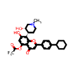 CN1CC[C@H](c2c(O)cc(OC(=O)C(F)(F)F)c3c(=O)cc(-c4ccc(C5CCCCC5)cc4)oc23)[C@H](O)C1